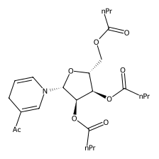 CCCC(=O)OC[C@H]1O[C@@H](N2C=CCC(C(C)=O)=C2)[C@H](OC(=O)CCC)[C@@H]1OC(=O)CCC